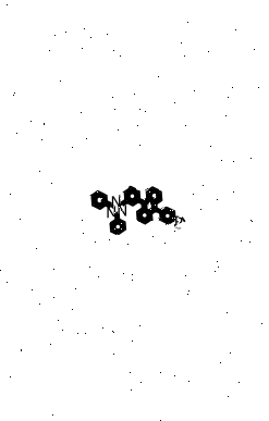 CP(C)c1ccc(-c2c3ccccc3c(-c3cccc(-c4nc(-c5ccccc5)nc(-c5ccccc5)n4)c3)c3ccccc23)cc1